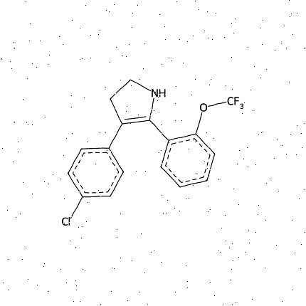 FC(F)(F)Oc1ccccc1C1=C(c2ccc(Cl)cc2)CCN1